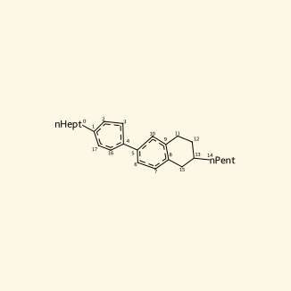 CCCCCCCc1ccc(-c2ccc3c(c2)CCC(CCCCC)C3)cc1